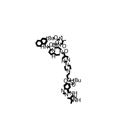 Cc1[nH]nc(Nc2ncnc3cc(OCCCN4CCN(c5ncc(C(=O)N6CC[C@H]7CC[C@@H](C(=O)Nc8cccc9c8CCCC9)N7C(=O)[C@@H](NC(=O)[C@H](C)N(C)C(=O)OC(C)(C)C)C6)cn5)CC4)c(S(=O)(=O)C(C)(C)C)cc23)c1C